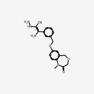 CN1C(=O)COCc2cc(OCc3cccc(/C(N)=C(\C#N)NN)c3)ccc21